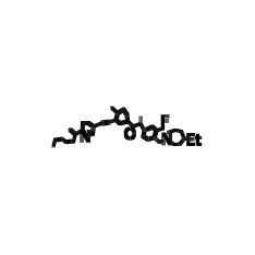 C=C(/C=C\C=C/C)c1ccc(C#Cc2cc(C(=O)C(C)c3ccc(CN4CCCC(CC)CC4)c(CF)c3)ccc2C)cn1